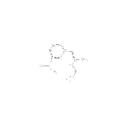 CN(C)c1cccc(C=C(C=CC(Cl)(Cl)Cl)C(Cl)(Cl)Cl)c1